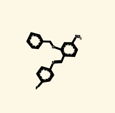 O=[N+]([O-])c1ccc(/C=N/c2ccc(F)cc2)c(OCc2ccccc2)c1